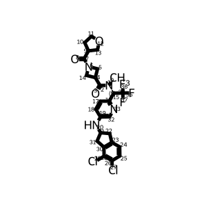 CN(C(=O)C1CN(C(=O)C2CCOC2)C1)[C@@H](c1ccc(NC2Cc3ccc(Cl)c(Cl)c3C2)cn1)C(F)(F)F